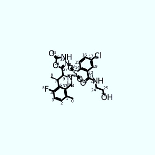 Cc1ccc(F)c([C@@H](C)[C@H](NS(=O)(=O)c2ccc(Cl)cc2C(=O)NCCO)c2n[nH]c(=O)o2)c1C